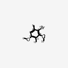 COc1cc(C)c(Br)c(OC)c1C